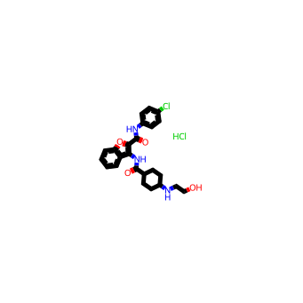 Cl.O=C(Nc1ccc(Cl)cc1)c1oc2ccccc2c1NC(=O)C1CCC(NCCO)CC1